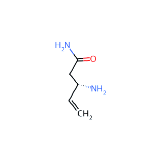 C=C[C@@H](N)CC(N)=O